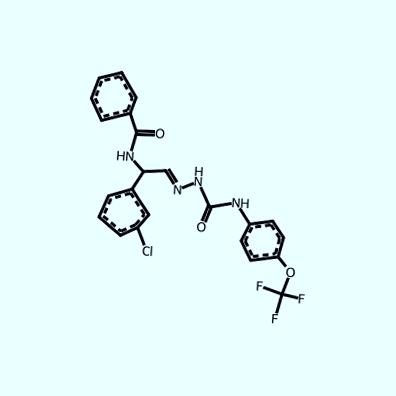 O=C(NN=CC(NC(=O)c1ccccc1)c1cccc(Cl)c1)Nc1ccc(OC(F)(F)F)cc1